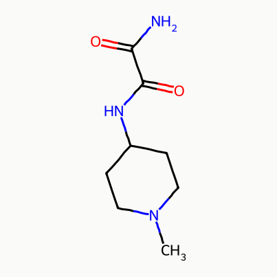 CN1CCC(NC(=O)C(N)=O)CC1